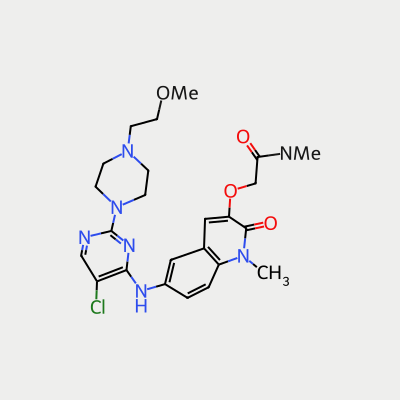 CNC(=O)COc1cc2cc(Nc3nc(N4CCN(CCOC)CC4)ncc3Cl)ccc2n(C)c1=O